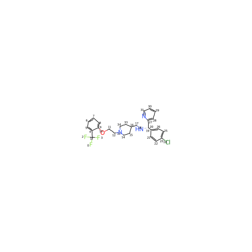 FC(F)(F)c1ccccc1OCCN1CCC(CN[C@@H](c2ccc(Cl)cc2)c2ccccn2)CC1